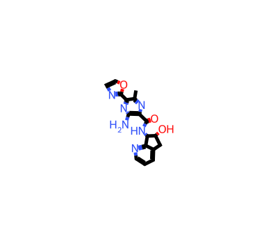 Cc1nc(C(=O)NC2c3ncccc3CC2O)c(N)nc1-c1ncco1